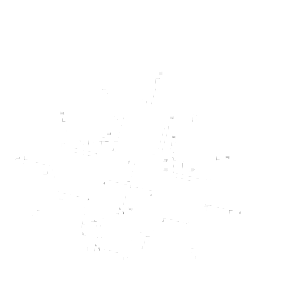 Fc1c(F)c(F)c([B-](c2c(F)c(F)c(F)c(F)c2F)(c2c(F)c(F)c(F)c(F)c2F)n2ccnc2)c(F)c1F